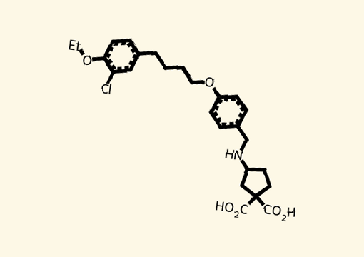 CCOc1ccc(CCCCOc2ccc(CNC3CCC(C(=O)O)(C(=O)O)C3)cc2)cc1Cl